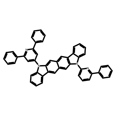 c1ccc(-c2cc(-n3c4ccccc4c4cc5cc6c(cc5cc43)c3ccccc3n6-c3cccc(-c4ccccc4)n3)cc(-c3ccccc3)n2)cc1